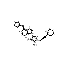 O[C@@H]1[C@H](O)[C@@H](CC#CC2CCCCN2)O[C@H]1n1cnc2c(NC3CCCC3)ncnc21